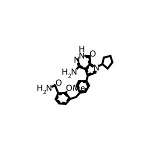 COc1c(Cc2ccc(-c3cn(C4CCCC4)c4c(=O)[nH]nc(N)c34)cc2)cccc1C(N)=O